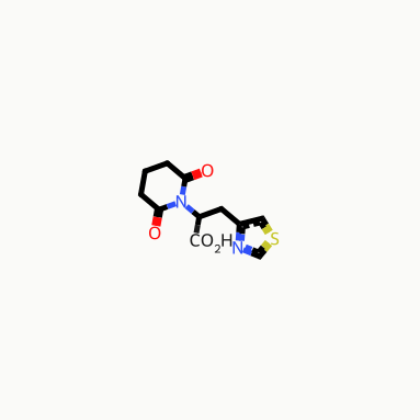 O=C(O)C(Cc1cscn1)N1C(=O)CCCC1=O